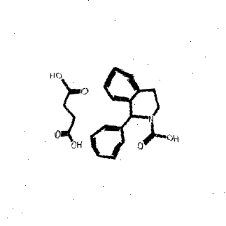 O=C(O)CCC(=O)O.O=C(O)N1CCc2ccccc2C1c1ccccc1